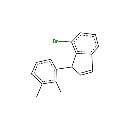 Cc1cccc(C2C=Cc3cccc(Br)c32)c1C